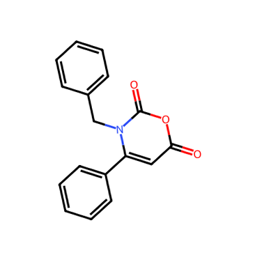 O=c1cc(-c2ccccc2)n(Cc2ccccc2)c(=O)o1